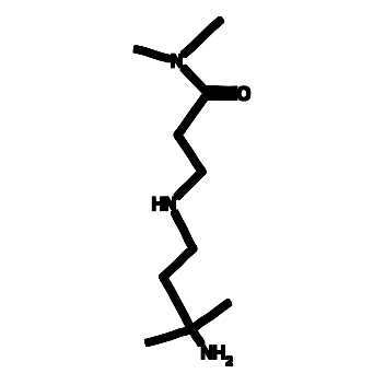 CN(C)C(=O)CCNCCC(C)(C)N